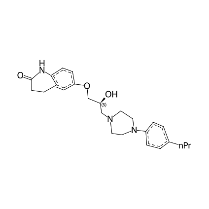 CCCc1ccc(N2CCN(C[C@H](O)COc3ccc4c(c3)CCC(=O)N4)CC2)cc1